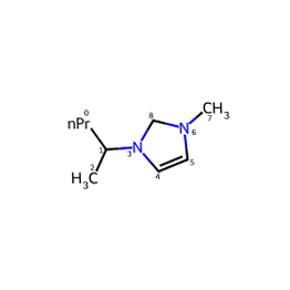 CCCC(C)N1C=CN(C)C1